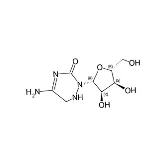 NC1=NC(=O)N([C@@H]2O[C@H](CO)[C@@H](O)[C@H]2O)NC1